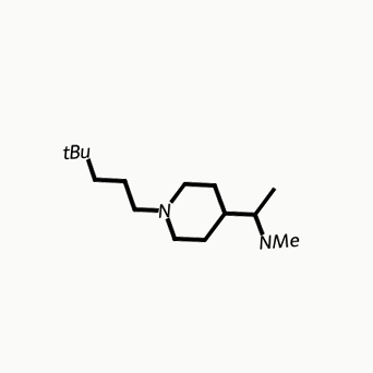 CNC(C)C1CCN(CCCC(C)(C)C)CC1